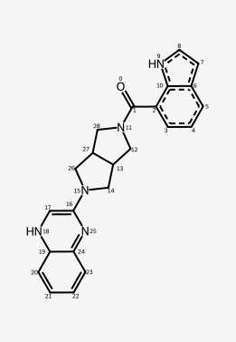 O=C(c1cccc2cc[nH]c12)N1CC2CN(C3=CNC4C=CC=CC4=N3)CC2C1